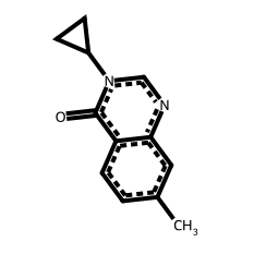 Cc1ccc2c(=O)n(C3CC3)cnc2c1